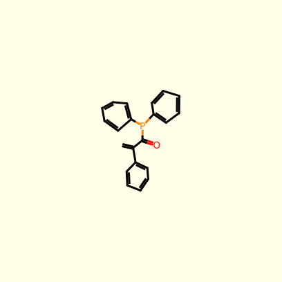 C=C(C(=O)P(c1ccccc1)c1ccccc1)c1ccccc1